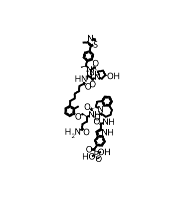 Cc1ncsc1-c1ccc([C@H](C)NC(=O)[C@@H]2C[C@@H](O)CN2C(=O)[C@@H](NC(=O)CCCCCc2cccc(OC[C@H](CCC(N)=O)NC(=O)[C@@H]3Cc4cccc5c4N3C(=O)[C@@H](NC(=O)c3cc4cc(C(=O)P(=O)(O)O)ccc4[nH]3)CC5)c2C)C(C)(C)C)cc1